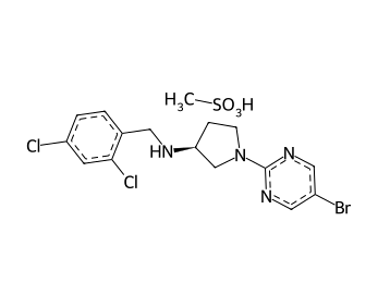 CS(=O)(=O)O.Clc1ccc(CN[C@H]2CCN(c3ncc(Br)cn3)C2)c(Cl)c1